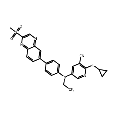 CS(=O)(=O)c1cnc2cc(-c3ccc(N(CC(F)(F)F)c4cnc(OC5CC5)c(C#N)c4)cc3)ccc2n1